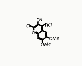 COc1cc2nc(Cl)c(C#N)c(C)c2cc1OC.Cl